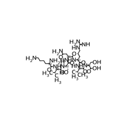 CC(C)[C@H](NC(=O)[C@H](CCCNC(=N)N)NC(=O)[C@H](CC(N)=O)NC(=O)[C@H](CO)NC(=O)[C@@H](NC(=O)[C@@H](N)CCCCN)C(C)C)C(=O)N[C@@H](CO)C(=O)O